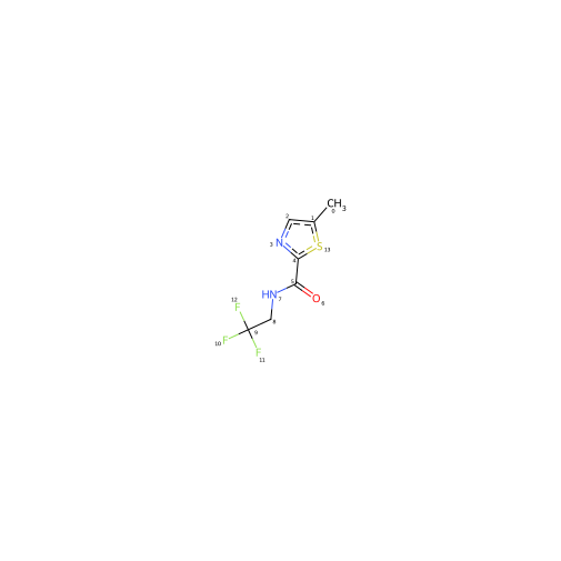 Cc1cnc(C(=O)NCC(F)(F)F)s1